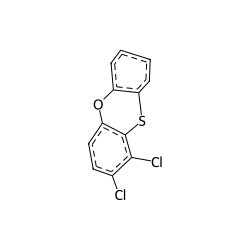 Clc1ccc2c(c1Cl)Sc1ccccc1O2